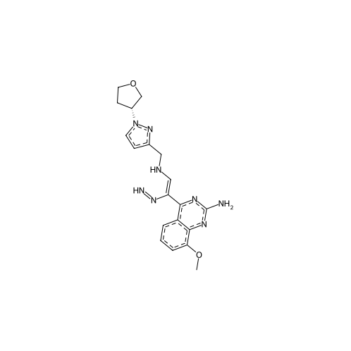 COc1cccc2c(/C(=C/NCc3ccn([C@@H]4CCOC4)n3)N=N)nc(N)nc12